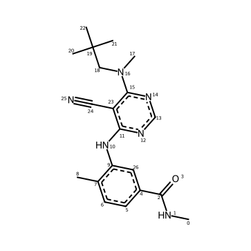 CNC(=O)c1ccc(C)c(Nc2ncnc(N(C)CC(C)(C)C)c2C#N)c1